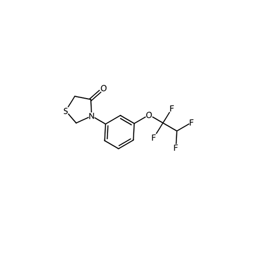 O=C1CSCN1c1cccc(OC(F)(F)C(F)F)c1